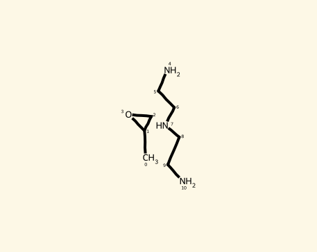 CC1CO1.NCCNCCN